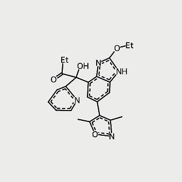 CCOc1nc2c(C(O)(C(=O)CC)c3ccccn3)cc(-c3c(C)noc3C)cc2[nH]1